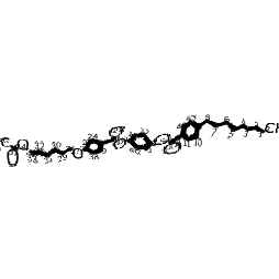 CCCCCCCCCc1ccc(C(=O)Oc2ccc(OC(=O)c3ccc(OCCCCCCOC(C)=O)cc3)cc2)cc1